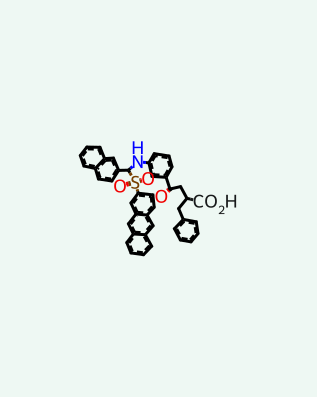 O=C(CC(Cc1ccccc1)C(=O)O)c1cccc(NC(c2ccc3ccccc3c2)S(=O)(=O)c2ccc3cc4ccccc4cc3c2)c1